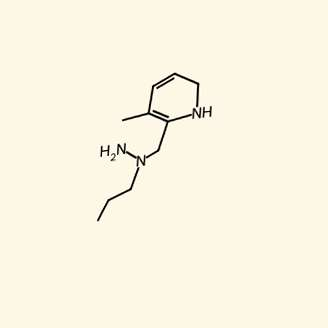 CCCN(N)CC1=C(C)C=CCN1